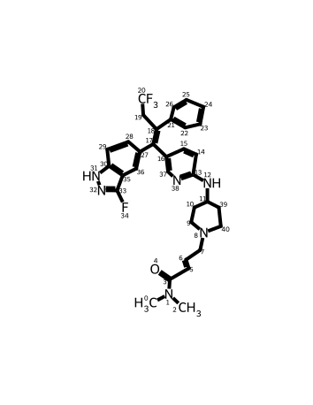 CN(C)C(=O)/C=C/CN1CCC(Nc2ccc(/C(=C(/CC(F)(F)F)c3ccccc3)c3ccc4[nH]nc(F)c4c3)cn2)CC1